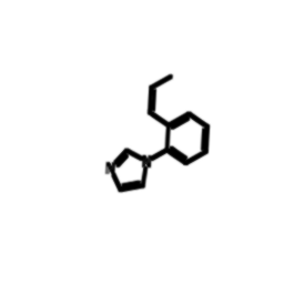 C/C=C\c1ccccc1-n1ccnc1